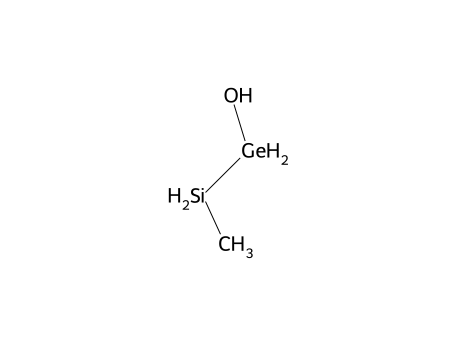 C[SiH2][GeH2][OH]